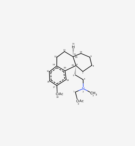 CC(=O)OCN(C)CC[C@@]12CCCC[C@@H]1CCc1ccc(OC(C)=O)cc12